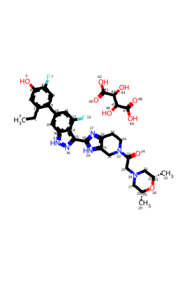 CCc1cc(O)c(F)cc1-c1cc(F)c2c(-c3nc4c([nH]3)CN(C(=O)CN3C[C@@H](C)O[C@@H](C)C3)CC4)n[nH]c2c1.O=C(O)C(O)C(O)C(=O)O